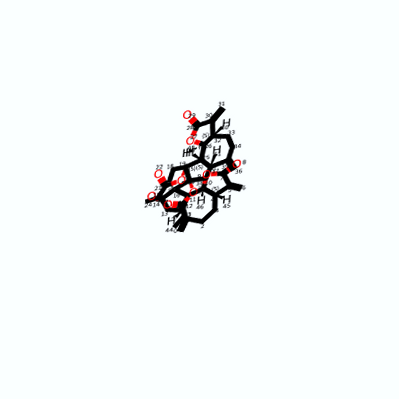 C=C1CC[C@H]2C(=C)C(=O)O[C@@H]2C2[C@H]1CC(=O)[C@]21CC[C@]2(OC(=O)CC)[C@@H]3[C@H]4OC(=O)C(=C)[C@@H]4CCC(=C)[C@@H]3C[C@@]21OC(=O)CC